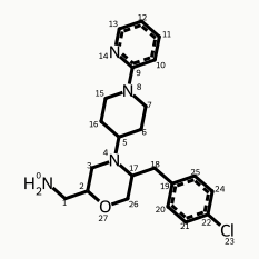 NCC1CN(C2CCN(c3ccccn3)CC2)C(Cc2ccc(Cl)cc2)CO1